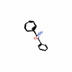 c1ccc(C2NC(c3ccccc3)O2)cc1